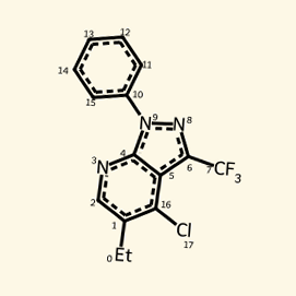 CCc1cnc2c(c(C(F)(F)F)nn2-c2ccccc2)c1Cl